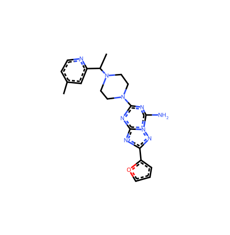 Cc1ccnc(C(C)N2CCN(c3nc(N)n4nc(-c5ccco5)nc4n3)CC2)c1